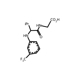 CC(C)C(Nc1cccc(C(F)(F)F)c1)C(=O)NCC(=O)O